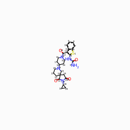 NC(=O)Nc1sc2ccccc2c1C(=O)N1CCC(N2CCCC3(CC(=O)N(C4CC4)C3=O)C2)CC1